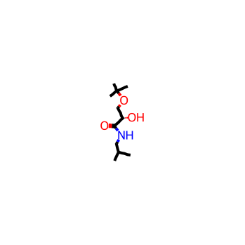 CC(C)CNC(=O)[C@@H](O)COC(C)(C)C